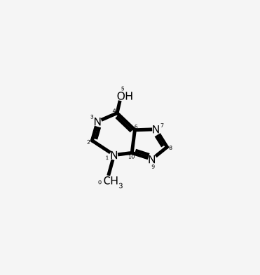 Cn1cnc(O)c2ncnc1-2